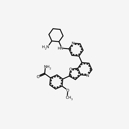 COc1ccc(C(N)=O)cc1-c1cc2nccc(-c3ccnc(NC4CCCCC4N)c3)c2o1